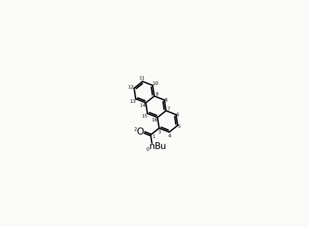 CCCCC(=O)c1cccc2cc3ccccc3cc12